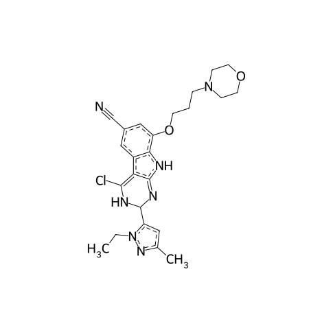 CCn1nc(C)cc1C1N=c2[nH]c3c(OCCCN4CCOCC4)cc(C#N)cc3c2=C(Cl)N1